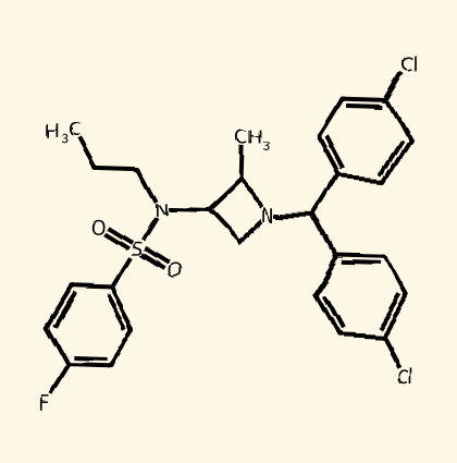 CCCN(C1CN(C(c2ccc(Cl)cc2)c2ccc(Cl)cc2)C1C)S(=O)(=O)c1ccc(F)cc1